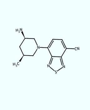 C[C@H]1C[C@@H](N)CN(c2ccc(C#N)c3nsnc23)C1